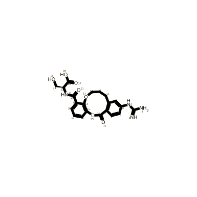 N=C(N)Nc1ccc2c(c1)CCCOc1c(cccc1C(=O)N[C@@H](CO)C(=O)O)OC2=O